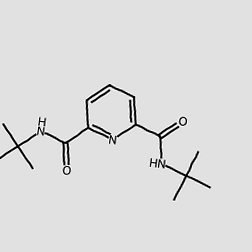 CC(C)(C)NC(=O)c1cccc(C(=O)NC(C)(C)C)n1